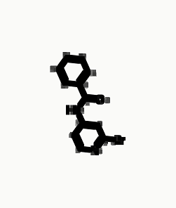 O=C(Nc1ccnc(Br)c1)c1ccccc1